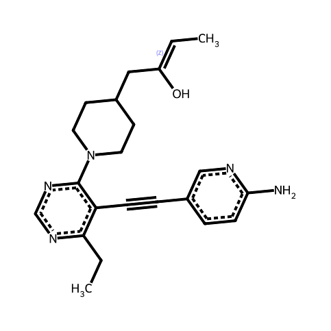 C/C=C(\O)CC1CCN(c2ncnc(CC)c2C#Cc2ccc(N)nc2)CC1